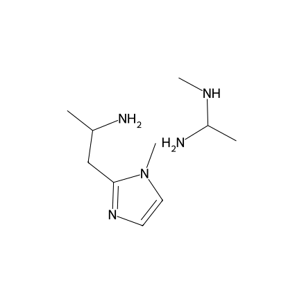 CC(N)Cc1nccn1C.CNC(C)N